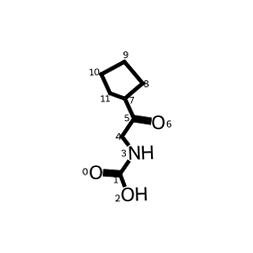 O=C(O)NCC(=O)C1CCCC1